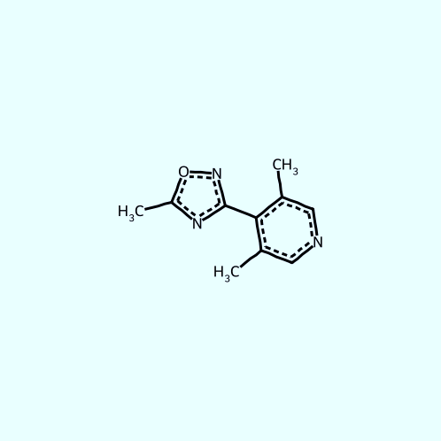 Cc1nc(-c2c(C)cncc2C)no1